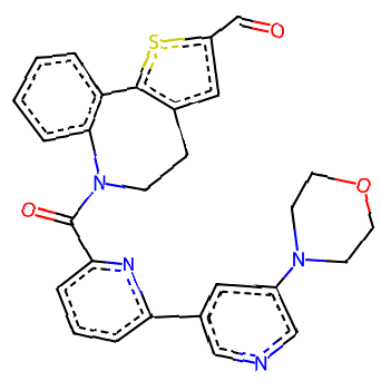 O=Cc1cc2c(s1)-c1ccccc1N(C(=O)c1cccc(-c3cncc(N4CCOCC4)c3)n1)CC2